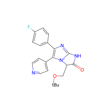 CC(C)(C)OCC1C(=O)NC2=NC(c3ccc(F)cc3)=C(c3ccncc3)[N+]21